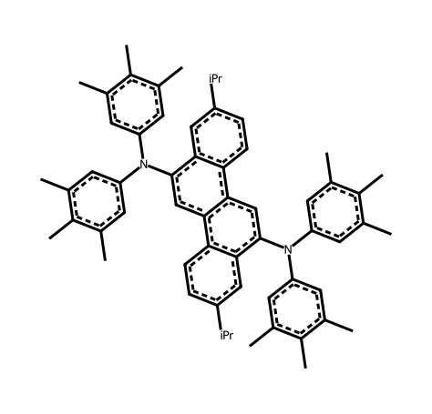 Cc1cc(N(c2cc(C)c(C)c(C)c2)c2cc3c4ccc(C(C)C)cc4c(N(c4cc(C)c(C)c(C)c4)c4cc(C)c(C)c(C)c4)cc3c3ccc(C(C)C)cc23)cc(C)c1C